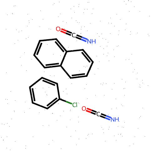 Clc1ccccc1.N=C=O.N=C=O.c1ccc2ccccc2c1